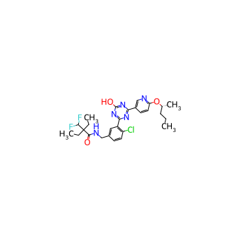 CCC[C@@H](C)Oc1ccc(-c2nc(O)nc(-c3cc(CNC(=O)C(CC)(CC)C(F)F)ccc3Cl)n2)cn1